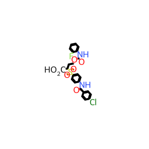 O=C(Nc1ccccc1F)OCCC(C(=O)O)S(=O)(=O)c1ccc(NC(=O)c2ccc(Cl)cc2)cc1